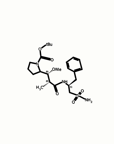 CO[C@@H](C1CCCN1C(=O)OC(C)(C)C)[C@@H](C)C(=O)N[C@@H](Cc1ccccc1)CS(N)(=O)=O